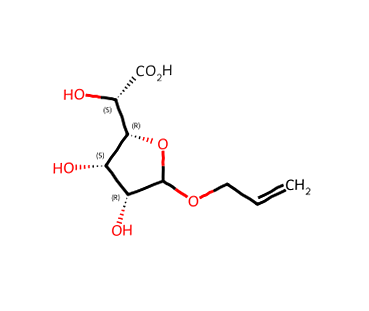 C=CCOC1O[C@@H]([C@H](O)C(=O)O)[C@@H](O)[C@H]1O